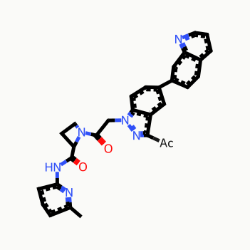 CC(=O)c1nn(CC(=O)N2CCC2C(=O)Nc2cccc(C)n2)c2ccc(-c3ccc4cccnc4c3)cc12